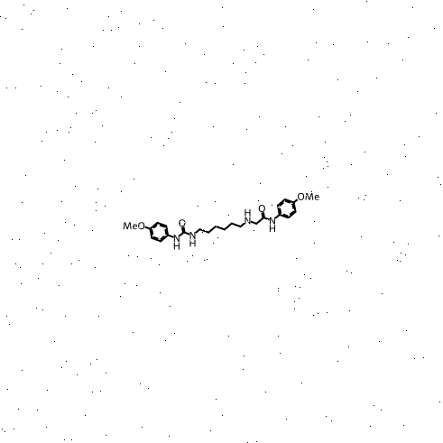 COc1ccc(NC(=O)CNCCCCCCNC(=O)Nc2ccc(OC)cc2)cc1